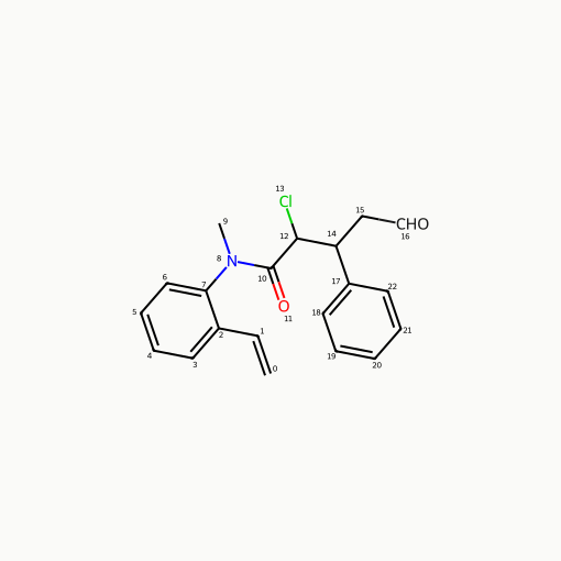 C=Cc1ccccc1N(C)C(=O)C(Cl)C(CC=O)c1ccccc1